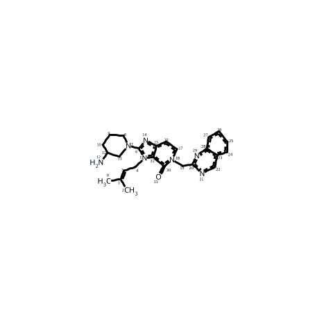 CC(C)=CCn1c(N2CCCC(N)C2)nc2ccn(Cc3ncc4ccccc4n3)c(=O)c21